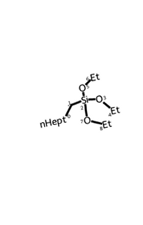 CCCCCCC[CH][Si](OCC)(OCC)OCC